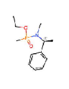 CCOP(C)(=O)N(C)[C@@H](C)c1ccccc1